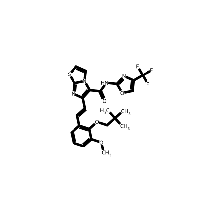 COc1cccc(C=Cc2nc3sccn3c2C(=O)Nc2nc(C(F)(F)F)co2)c1OCC(C)(C)C